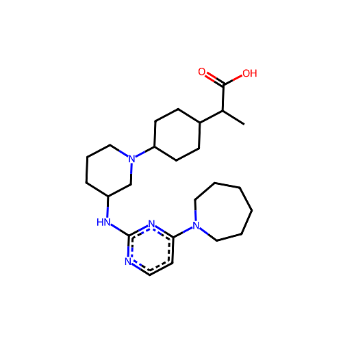 CC(C(=O)O)C1CCC(N2CCCC(Nc3nccc(N4CCCCCC4)n3)C2)CC1